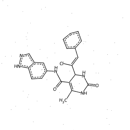 CC1=C(C(=O)Nc2ccc3[nH]ncc3c2)C(C(Cl)=Cc2ccccc2)NC(=O)N1